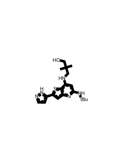 CC(C)(CO)CNc1cc(NC(C)(C)C)nc2cc(-c3ccn[nH]3)sc12